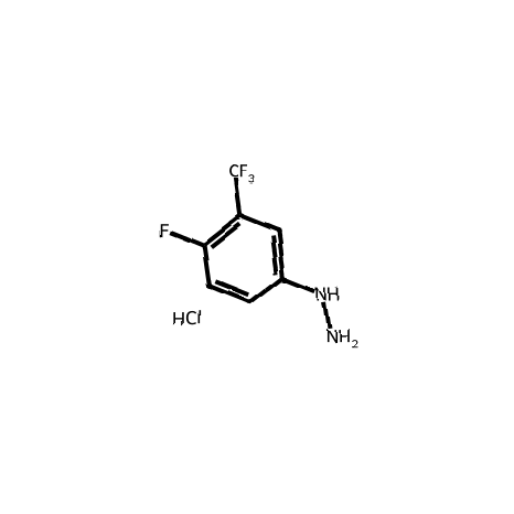 Cl.NNc1ccc(F)c(C(F)(F)F)c1